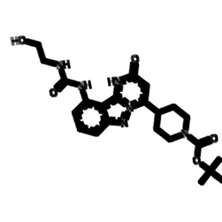 CC(C)(C)OC(=O)N1CCC(c2cc(=O)[nH]c3c4c(NC(=O)NCCO)cccc4nn23)CC1